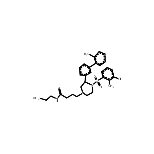 Cc1cnccc1-c1cccc(C2CN(CCCC(=O)NCCS(=O)(=O)O)CCN2S(=O)(=O)c2cccc(Cl)c2C)c1